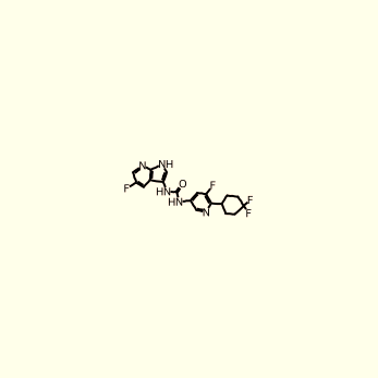 O=C(Nc1cnc(C2CCC(F)(F)CC2)c(F)c1)Nc1c[nH]c2ncc(F)cc12